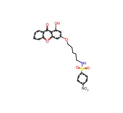 O=c1c2ccccc2oc2cc(OCCCCCNS(=O)(=O)c3ccc([N+](=O)[O-])cc3)cc(O)c12